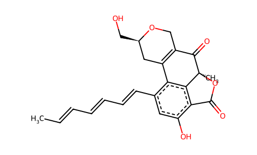 C/C=C/C=C/C=C/c1cc(O)c2c3c1C1=C(CO[C@H](CO)C1)C(=O)[C@@]3(C)OC2=O